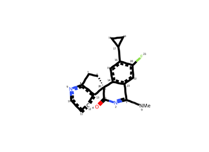 CNC1=NC(=O)[C@]2(CCc3ncccc32)c2cc(C3CC3)c(F)cc21